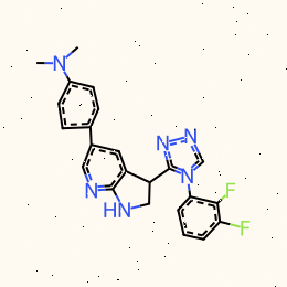 CN(C)c1ccc(-c2cnc3c(c2)C(c2nncn2-c2cccc(F)c2F)CN3)cc1